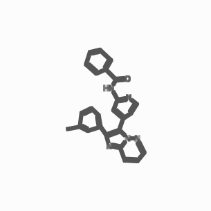 Cc1cccc(-c2nc3cccnn3c2-c2ccnc(NC(=O)c3ccccc3)c2)c1